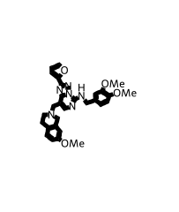 COc1ccc2c(c1)CN(Cc1cnc(NCc3ccc(OC)c(OC)c3)n3nc(-c4ccco4)nc13)CC2